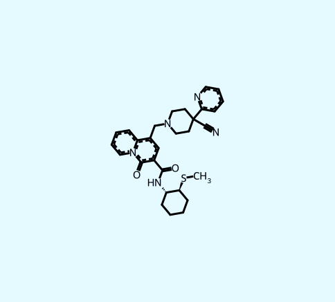 CS[C@H]1CCCC[C@@H]1NC(=O)c1cc(CN2CCC(C#N)(c3ccccn3)CC2)c2ccccn2c1=O